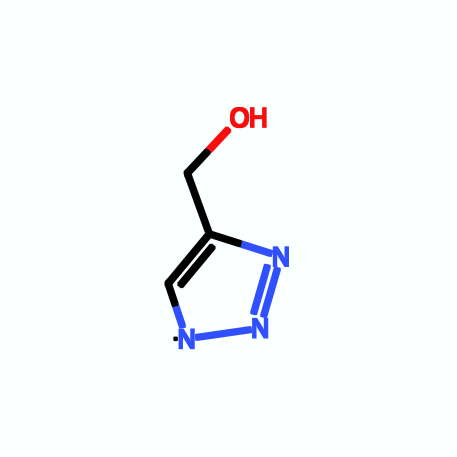 OCC1=C[N]N=N1